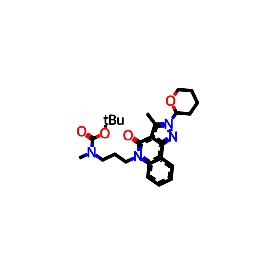 Cc1c2c(=O)n(CCCN(C)C(=O)OC(C)(C)C)c3ccccc3c2nn1C1CCCCO1